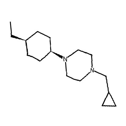 CC[C@H]1CC[C@@H](N2CCN(CC3CC3)CC2)CC1